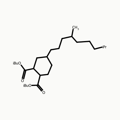 CC(C)CCCC(C)CCCC1CCC(C(=O)OCC(C)C)C(C(=O)OCC(C)C)C1